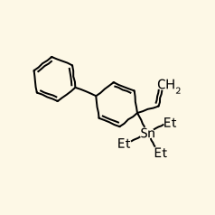 C=C[C]1([Sn]([CH2]C)([CH2]C)[CH2]C)C=CC(c2ccccc2)C=C1